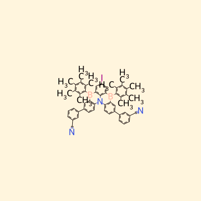 Cc1c(C)c(C)c(B2c3cc(-c4cccc(C#N)c4)ccc3N3c4ccc(-c5cccc(C#N)c5)cc4B(c4c(C)c(C)c(C)c(C)c4C)c4cc(I)cc2c43)c(C)c1C